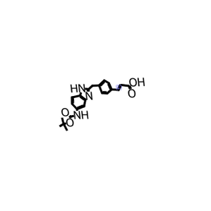 CC(C)(C)OC(=O)Nc1ccc2[nH]c(Cc3ccc(/C=C/C(=O)O)cc3)nc2c1